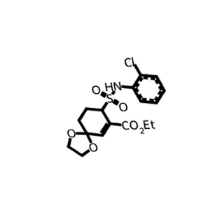 CCOC(=O)C1=CC2(CCC1S(=O)(=O)Nc1ccccc1Cl)OCCO2